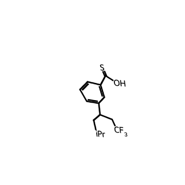 CC(C)CC(CC(F)(F)F)c1cccc(C(O)=S)c1